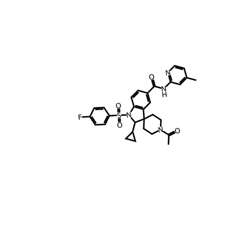 CC(=O)N1CCC2(CC1)c1cc(C(=O)Nc3cc(C)ccn3)ccc1N(S(=O)(=O)c1ccc(F)cc1)C2C1CC1